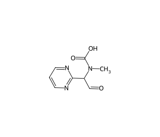 CN(C(=O)O)C(C=O)c1ncccn1